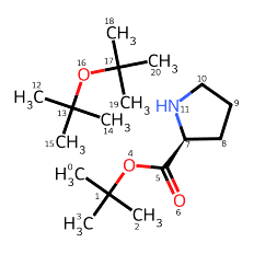 CC(C)(C)OC(=O)[C@@H]1CCCN1.CC(C)(C)OC(C)(C)C